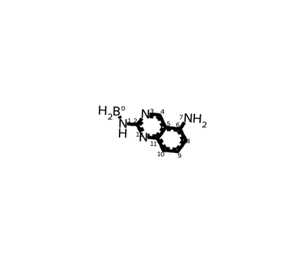 BNc1ncc2c(N)cccc2n1